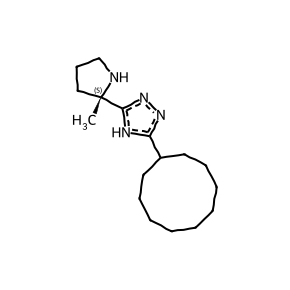 C[C@@]1(c2nnc(C3CCCCCCCCC3)[nH]2)CCCN1